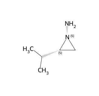 CC(C)[C@H]1C[N@@]1N